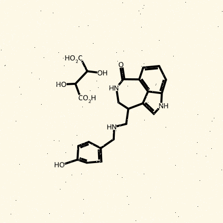 O=C(O)C(O)C(O)C(=O)O.O=C1NCC(CNCc2ccc(O)cc2)c2c[nH]c3cccc1c23